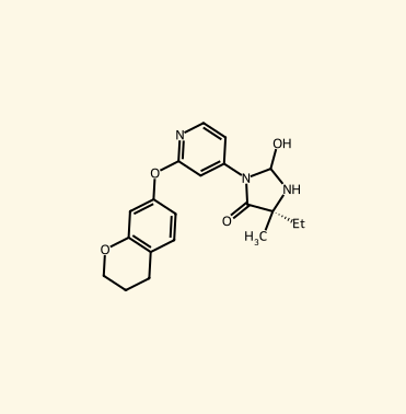 CC[C@@]1(C)NC(O)N(c2ccnc(Oc3ccc4c(c3)OCCC4)c2)C1=O